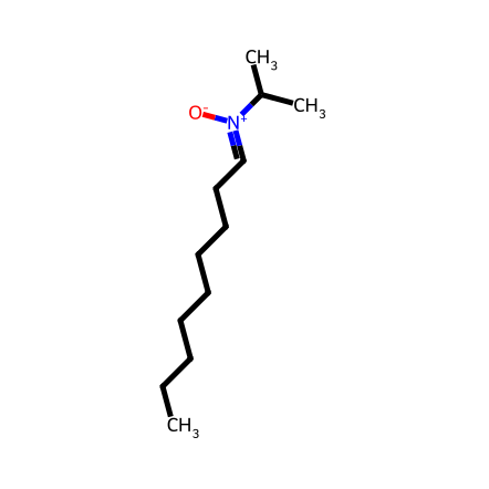 CCCCCCCCC=[N+]([O-])C(C)C